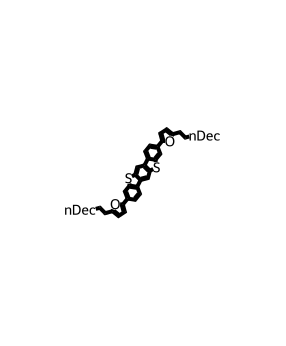 CCCCCCCCCCCCc1ccc(-c2ccc3c(c2)sc2cc4c(cc23)sc2cc(-c3ccc(CCCCCCCCCCCC)o3)ccc24)o1